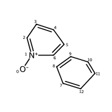 [O-][n+]1ccccc1.c1ccccc1